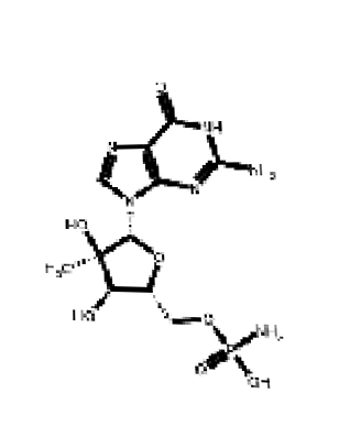 C[C@@]1(O)[C@H](O)[C@@H](COP(N)(=O)O)O[C@H]1n1cnc2c(=O)[nH]c(N)nc21